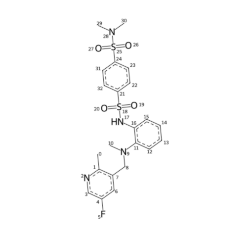 Cc1ncc(F)cc1CN(C)c1ccccc1NS(=O)(=O)c1ccc(S(=O)(=O)N(C)C)cc1